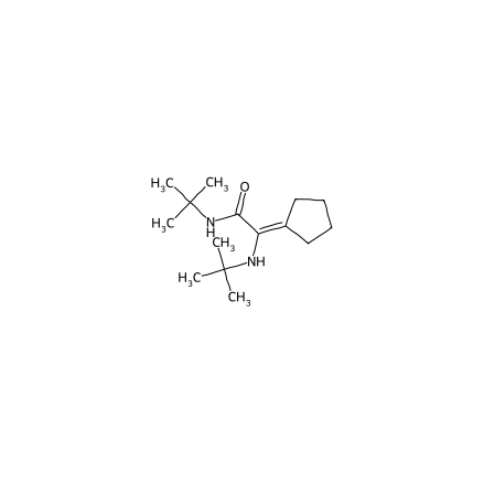 CC(C)(C)NC(=O)C(NC(C)(C)C)=C1CCCC1